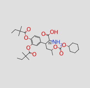 CCC(C)(C)C(=O)Oc1ccc(C(CC(C)OC(=O)OC2CCCCC2)[C@H](N)C(=O)O)cc1OC(=O)C(C)(C)CC